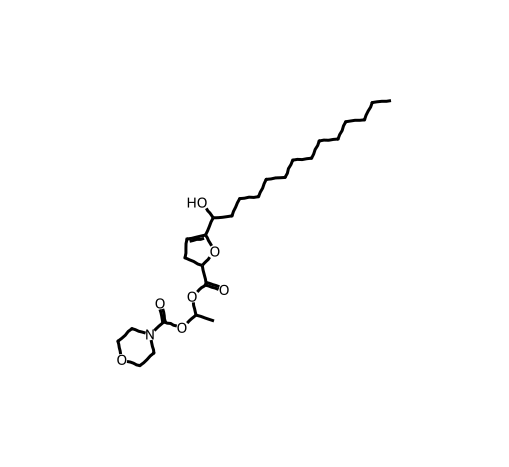 CCCCCCCCCCCCCC(O)C1=CCC(C(=O)OC(C)OC(=O)N2CCOCC2)O1